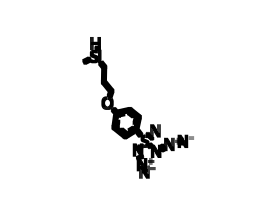 C[SiH](C)CCCOc1ccc(S(#N)(N=[N+]=[N-])N=[N+]=[N-])cc1